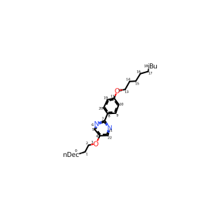 CCCCCCCCCCCCOc1cnc(-c2ccc(OCCCCCC(C)CC)cc2)nc1